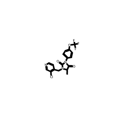 CC1C(=O)N(c2ccc(OC(F)(F)F)cc2)C(=O)N1Cc1ccncc1Cl